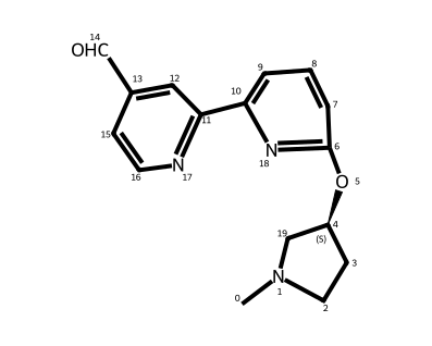 CN1CC[C@H](Oc2cccc(-c3cc(C=O)ccn3)n2)C1